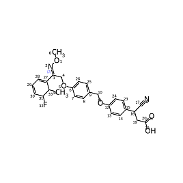 CO/N=C(\COc1ccc(COc2ccc(C(C#N)CC(=O)O)cc2)cc1)C1=CC=CC(F)C1C